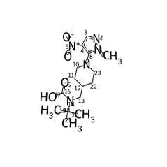 Cn1ncc([N+](=O)[O-])c1N1CCC(CN(C(=O)O)C(C)(C)C)CC1